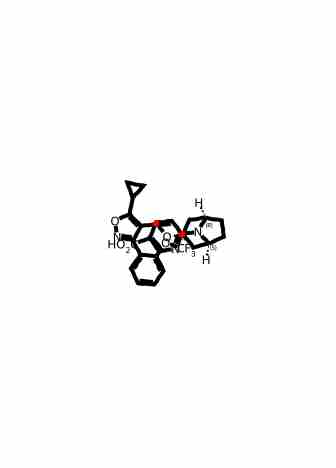 O=C(O)c1ccc(N2[C@@H]3CC[C@H]2C[C@H](OCc2c(-c4ccccc4OC(F)(F)F)noc2C2CC2)C3)nc1